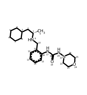 C[C@@H](CC1CCCCC1)NCc1ccccc1NC(=O)NN1CCOCC1